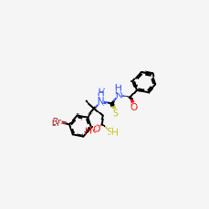 CC(CC(O)S)(NC(=S)NC(=O)c1ccccc1)c1cccc(Br)c1